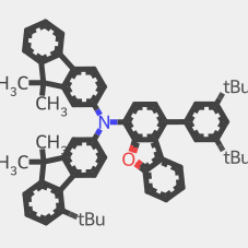 CC(C)(C)c1cc(-c2ccc(N(c3ccc4c(c3)C(C)(C)c3ccccc3-4)c3ccc4c(c3)C(C)(C)c3cccc(C(C)(C)C)c3-4)c3oc4ccccc4c23)cc(C(C)(C)C)c1